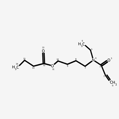 C=CC(=O)N(CC)CCCCOC(=O)CCC